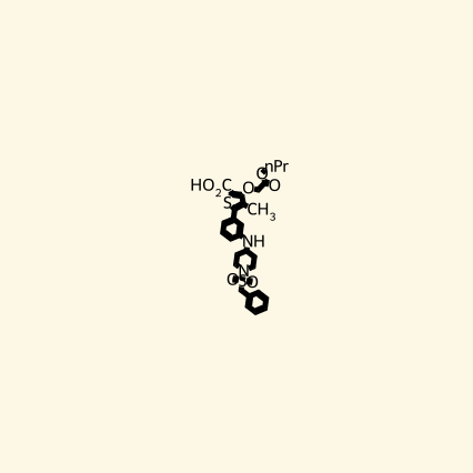 CCCOC(=O)COc1c(C(=O)O)sc(-c2cccc(NC3CCN(S(=O)(=O)Cc4ccccc4)CC3)c2)c1C